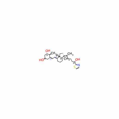 C=C1/C(=C\C=C2/CCC[C@]3(C)[C@@H]([C@H](C)CCC[C@@H](O)c4nccs4)CC[C@@H]23)C[C@@H](O)C[C@@H]1O